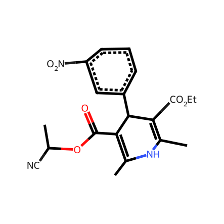 CCOC(=O)C1=C(C)NC(C)=C(C(=O)OC(C)C#N)C1c1cccc([N+](=O)[O-])c1